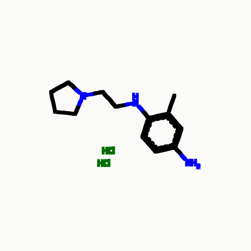 Cc1cc(N)ccc1NCCN1CCCC1.Cl.Cl